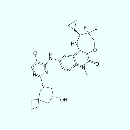 Cn1c(=O)c2c(c3cc(Nc4nc(N5C[C@H](O)CC6(CCC6)C5)ncc4Cl)ccc31)N[C@@H](C1CC1)C(F)(F)CO2